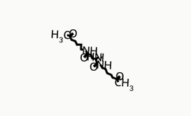 CC(=O)CCCCCNC(=O)CCC(NI)C(=O)NCCCCCC(C)=O